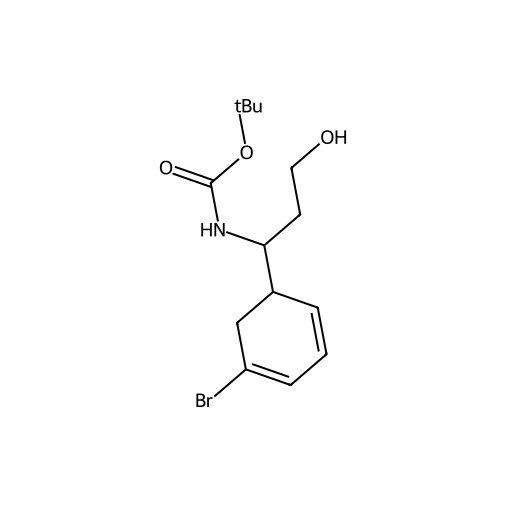 CC(C)(C)OC(=O)NC(CCO)C1C=CC=C(Br)C1